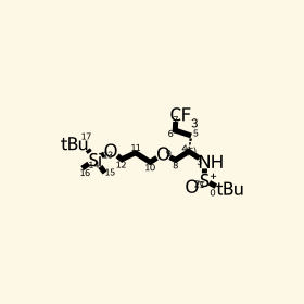 CC(C)(C)[S+]([O-])N[C@@H](CCC(F)(F)F)COCCCO[Si](C)(C)C(C)(C)C